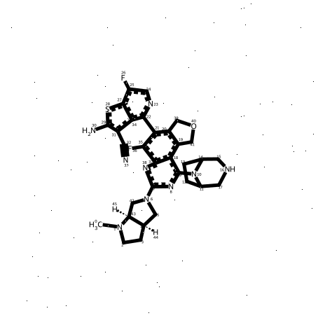 CN1CC[C@@H]2CN(c3nc(N4C5CCC4CNC5)c4c5c(c(-c6ncc(F)c7sc(N)c(C#N)c67)c(F)c4n3)COC5)C[C@@H]21